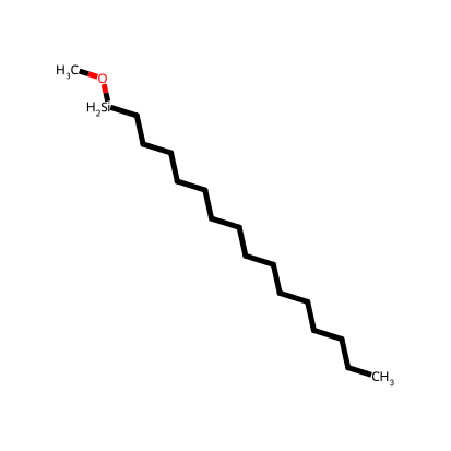 CCCCCCCCCCCCCCC[SiH2]OC